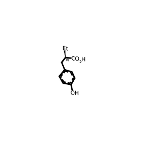 CC[C@H](Cc1ccc(O)cc1)C(=O)O